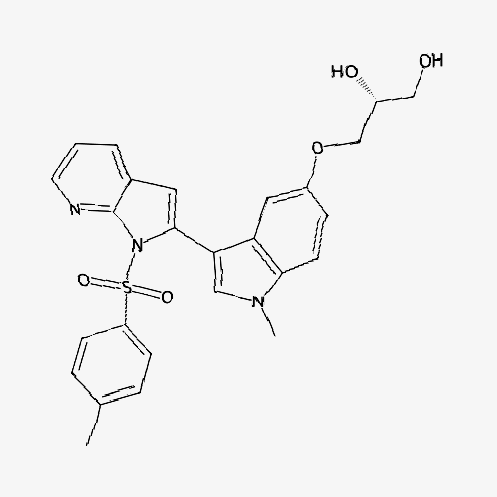 Cc1ccc(S(=O)(=O)n2c(-c3cn(C)c4ccc(OC[C@H](O)CO)cc34)cc3cccnc32)cc1